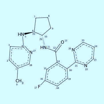 Cc1ccc(N[C@H]2CCC[C@@H]2NC(=O)c2cc(F)ccc2-c2ncccn2)nc1